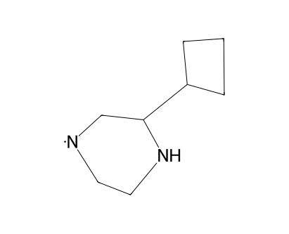 C1CC(C2C[N]CCN2)C1